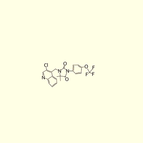 CC1(C)C(=O)N(c2ccc(OC(F)(F)F)cc2)C(=O)N1Cc1c(Cl)cnc2ccccc12